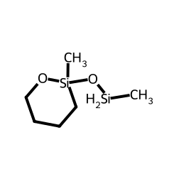 C[SiH2]O[Si]1(C)CCCCO1